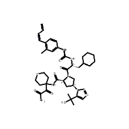 C=C/C=C\c1ccc(NC(=O)N[C@H](CC2CCCCC2)C(=O)N2C[C@@H](n3nncc3C(C)(C)O)C[C@H]2C(=O)NC2(C(=O)C(N)=O)CCOCC2)cc1C